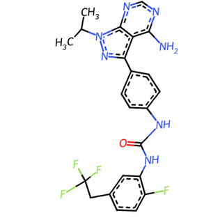 CC(C)n1nc(-c2ccc(NC(=O)Nc3cc(CC(F)(F)F)ccc3F)cc2)c2c(N)ncnc21